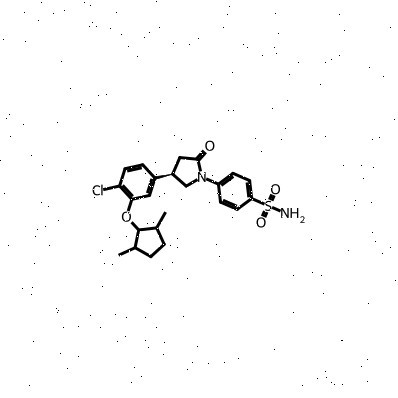 CC1CCC(C)C1Oc1cc([C@H]2CC(=O)N(c3ccc(S(N)(=O)=O)cc3)C2)ccc1Cl